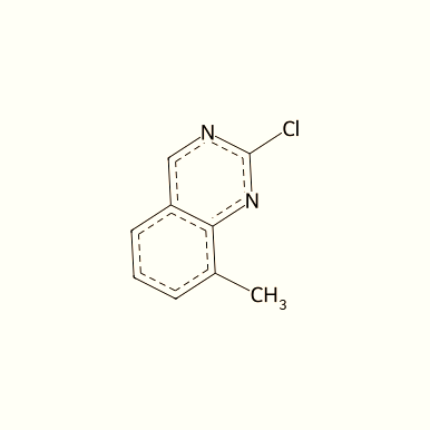 Cc1cccc2cnc(Cl)nc12